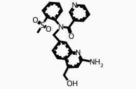 CS(=O)(=O)c1ccccc1N(Cc1ccc2c(CO)cc(N)nc2c1)C(=O)c1cccnc1